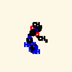 CCOc1cc(CN2CCC(Nc3ncnc4[nH]cnc34)CC2)cc(OCC)c1-n1cccc1